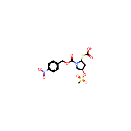 CS(=O)(=O)O[C@@H]1C[C@H](SC(=O)O)N(C(=O)OCc2ccc([N+](=O)[O-])cc2)C1